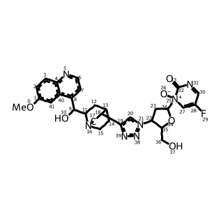 COc1ccc2nccc(C(O)C3CC4CCN3CC4c3cn(C4CC([N+]5([O-])C=C(F)C=NC5=O)OC4CO)nn3)c2c1